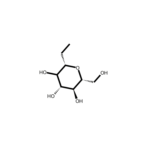 CC[C@@H]1O[C@H](CO)[C@@H](O)[C@H](O)C1O